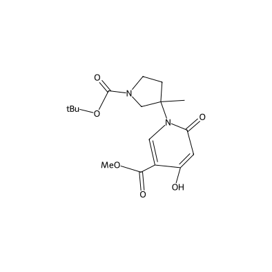 COC(=O)c1cn(C2(C)CCN(C(=O)OC(C)(C)C)C2)c(=O)cc1O